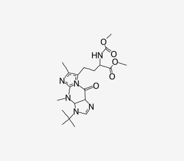 COC(=O)NC(CCc1c(C)nc2n1C(=O)C1N=CN(C(C)(C)C)C1N2C)C(=O)OC